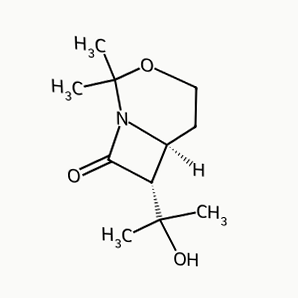 CC(C)(O)[C@@H]1C(=O)N2[C@H]1CCOC2(C)C